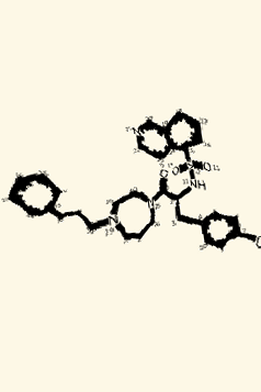 O=C([C@H](Cc1ccc(O)cc1)NS(=O)(=O)c1cccc2cnccc12)N1CCCN(CCCc2ccccc2)CC1